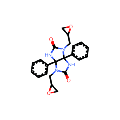 O=C1NC2(c3ccccc3)N(CC3CO3)C(=O)NC2(c2ccccc2)N1CC1CO1